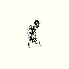 N#CCO/N=C(/C(=O)N[C@@H]1C(=O)N2C(C(=O)[O-])=C(Cn3cc[n+]4ccccc34)CS[C@H]12)c1nsc(N)n1